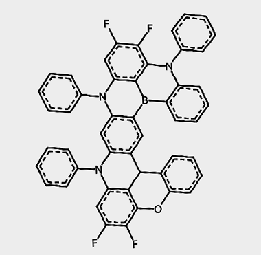 Fc1cc2c3c(c1F)Oc1ccccc1C3c1cc3c(cc1N2c1ccccc1)N(c1ccccc1)c1cc(F)c(F)c2c1B3c1ccccc1N2c1ccccc1